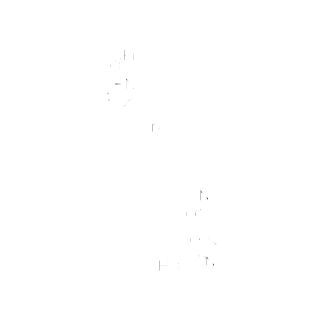 Cc1ncc(CC(=O)NC2CCC(CCN3CCc4ccc(OC(C)C)nc4CC3)CC2)o1